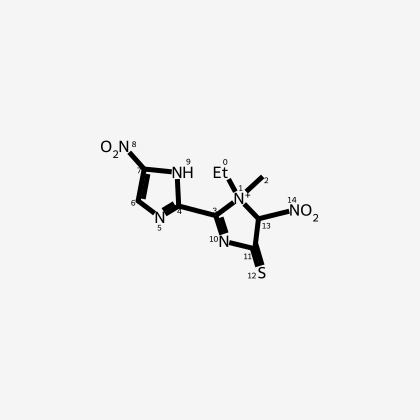 CC[N+]1(C)C(c2ncc([N+](=O)[O-])[nH]2)=NC(=S)C1[N+](=O)[O-]